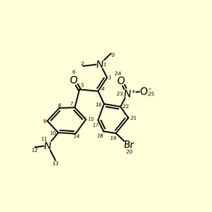 CN(C)/C=C(\C(=O)c1ccc(N(C)C)cc1)c1ccc(Br)cc1[N+](=O)[O-]